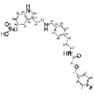 O=C(COCc1ccc(F)cc1)NCCCc1ccc(CNCCc2c[nH]c3ccc(OS(=O)O)cc23)cc1